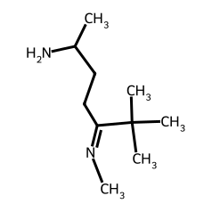 C/N=C(/CCC(C)N)C(C)(C)C